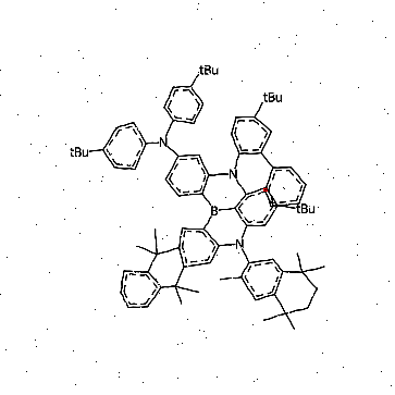 Cc1cc2c(cc1N1c3cc4c(cc3B3c5ccc(N(c6ccc(C(C)(C)C)cc6)c6ccc(C(C)(C)C)cc6)cc5N(c5ccc(C(C)(C)C)cc5-c5ccccc5)c5cc(C(C)(C)C)cc1c53)C(C)(C)c1ccccc1C4(C)C)C(C)(C)CCC2(C)C